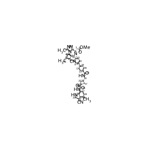 COC(=O)C[C@@H]1N=C(c2ccc(-c3ccc(C(=O)NC[C@H]4C[C@H](S(=O)(=O)Nc5ccc(C)c6c(C#N)c[nH]c56)C4)cc3)cc2)c2c(sc(C)c2C)-n2c(C)nnc21